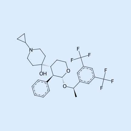 C[C@@H](O[C@H]1OCC[C@@H](C2(O)CCN(C3CC3)CC2)[C@@H]1c1ccccc1)c1cc(C(F)(F)F)cc(C(F)(F)F)c1